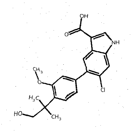 COc1cc(-c2cc3c(C(=O)O)c[nH]c3cc2Cl)ccc1C(C)(C)CO